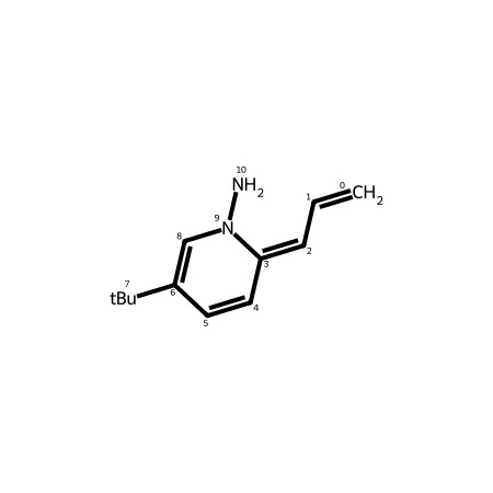 C=C/C=C1/C=CC(C(C)(C)C)=CN1N